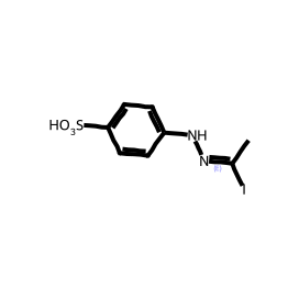 C/C(I)=N\Nc1ccc(S(=O)(=O)O)cc1